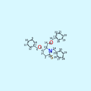 S=C1CC[C@H](OCc2ccccc2)C(COCc2ccccc2)N1Cc1ccccc1